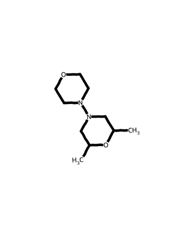 CC1CN(N2CCOCC2)CC(C)O1